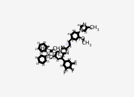 COc1cc(/C=C/c2nc3n(n2)CC(O[Si](c2ccccc2)(c2ccccc2)C(C)(C)C)CC3c2cc(F)c(F)c(F)c2)ccc1-n1cnc(C)c1